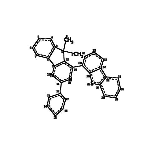 CC1(C)c2ccccc2-c2nc(-c3ccccc3)nc(-c3cccc4c3sc3ccccc34)c21